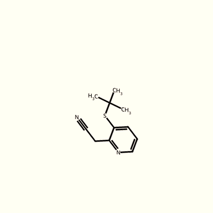 CC(C)(C)Sc1cccnc1CC#N